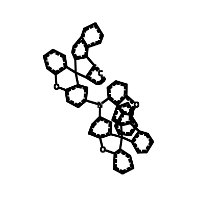 c1ccc2c(c1)Oc1ccc(N(c3ccc4c(c3)C3(c5ccccc5O4)c4ccccc4-c4c3ccc3ccccc43)c3cccc4oc5ccccc5c34)cc1C21c2ccccc2-c2ccccc21